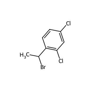 CC(Br)c1ccc(Cl)cc1Cl